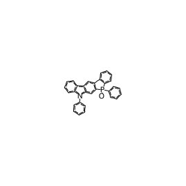 O=P1(c2ccccc2)c2ccccc2-c2cc3c4ccccc4n(-c4ccccc4)c3cc21